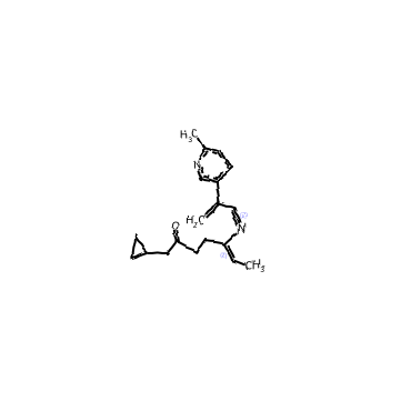 C=C(/C=N\C(=C/C)CCC(=O)CC1CC1)c1ccc(C)nc1